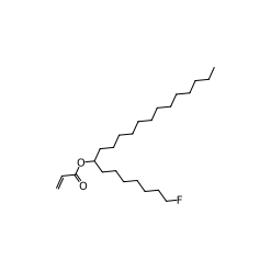 C=CC(=O)OC(CCCCCCCF)CCCCCCCCCCCCC